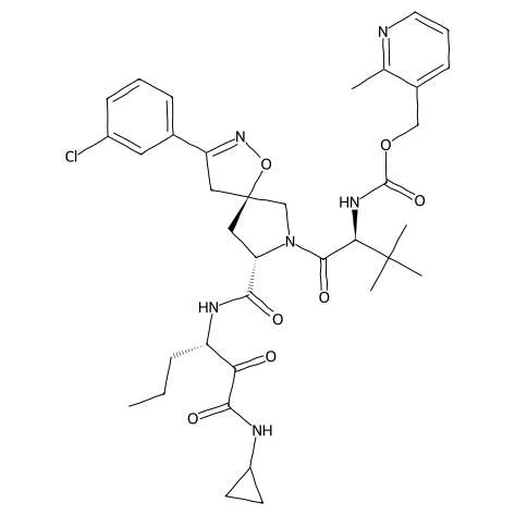 CCC[C@H](NC(=O)[C@@H]1C[C@]2(CC(c3cccc(Cl)c3)=NO2)CN1C(=O)[C@@H](NC(=O)OCc1cccnc1C)C(C)(C)C)C(=O)C(=O)NC1CC1